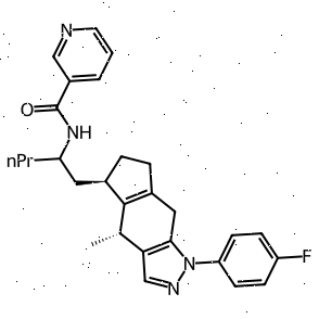 CCCC(C[C@H]1CCC2=C1[C@@H](C)c1cnn(-c3ccc(F)cc3)c1C2)NC(=O)c1cccnc1